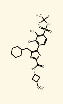 CCC(C)(C)NS(=O)(=O)c1ccc(-c2sc(C(=O)N[C@H]3C[C@H](C(=O)O)C3)nc2CC2CCCCC2)c(Cl)c1C